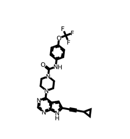 O=C(Nc1ccc(OC(F)(F)F)cc1)N1CCN(c2ncnc3[nH]c(C#CC4CC4)cc23)CC1